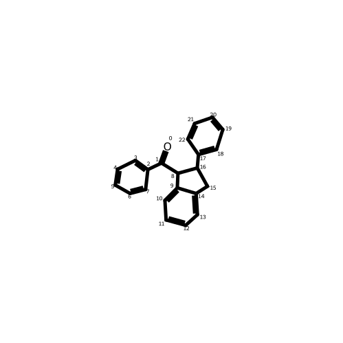 O=C(c1ccccc1)C1c2ccccc2CC1c1ccccc1